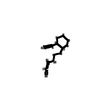 N#CC1CCCCC1CCCN=C=O